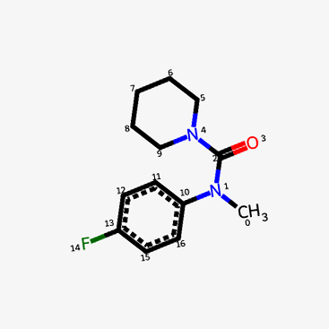 CN(C(=O)N1CCCCC1)c1ccc(F)cc1